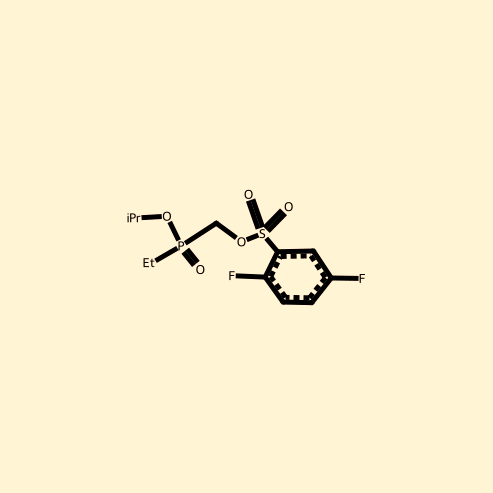 CCP(=O)(COS(=O)(=O)c1cc(F)ccc1F)OC(C)C